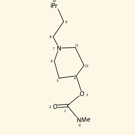 CNC(=O)OC1CCN(CCC(C)C)CC1